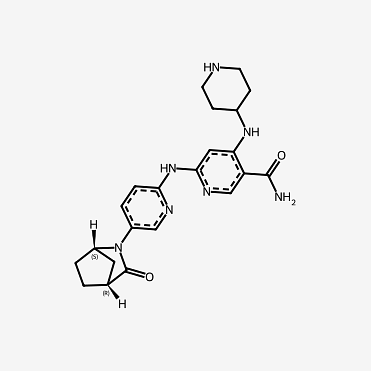 NC(=O)c1cnc(Nc2ccc(N3C(=O)[C@@H]4CC[C@H]3C4)cn2)cc1NC1CCNCC1